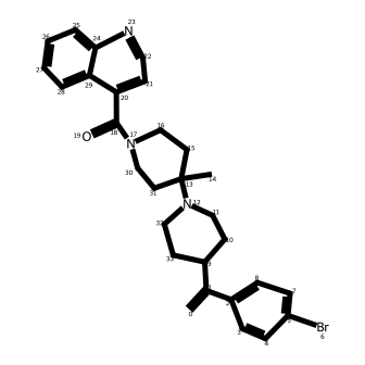 C=C(c1ccc(Br)cc1)C1CCN(C2(C)CCN(C(=O)c3ccnc4ccccc34)CC2)CC1